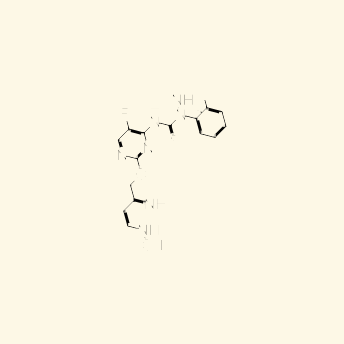 CN/C=C\C(=N)COc1ncc(F)c(NC(=S)N(N)c2ccccc2F)n1